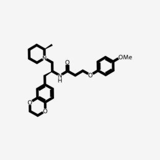 COc1ccc(OCCC(=O)N[C@@H](Cc2ccc3c(c2)OCCO3)CN2CCCC[C@H]2C)cc1